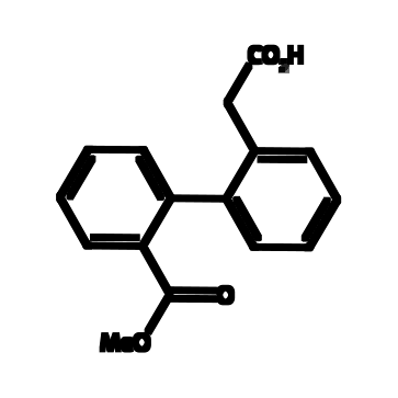 COC(=O)c1ccccc1-c1ccccc1CC(=O)O